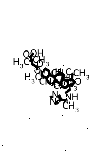 CC(C)C1=C2[C@H]3CCC4[C@@]5(C)CC[C@H](OC(=O)CC(C)(C)C(=O)O)C(C)(C)C5CC[C@@]4(C)[C@]3(C)CC[C@@]2(CCN[C@H](C)c2cncnc2)CC1=O